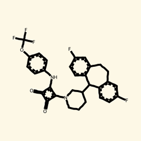 O=c1c(Nc2ccc(OC(F)(F)F)cc2)c(N2CCCC(C3c4ccc(F)cc4CCc4cc(F)ccc43)C2)c1=O